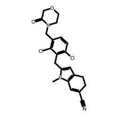 Cn1c(Cc2c(Cl)ccc(CN3CCOCC3=O)c2Cl)cc2c1C=C(C#N)CC2